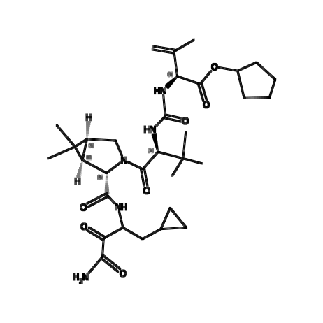 C=C(C)[C@H](NC(=O)N[C@H](C(=O)N1C[C@H]2[C@@H]([C@H]1C(=O)NC(CC1CC1)C(=O)C(N)=O)C2(C)C)C(C)(C)C)C(=O)OC1CCCC1